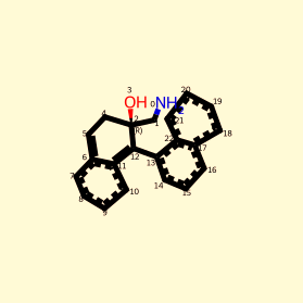 NC[C@@]1(O)CC=c2ccccc2=C1c1cccc2ccccc12